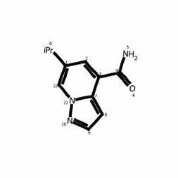 CC(C)c1cc(C(N)=O)c2ccnn2c1